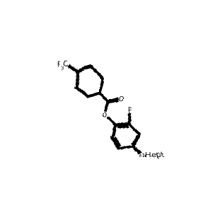 CCCCCCCc1ccc(OC(=O)C2CCC(C(F)(F)F)CC2)c(F)c1